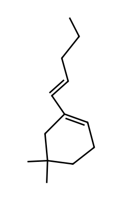 CCCC=CC1=CCCC(C)(C)C1